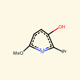 COc1ccc(O)c(C(C)C)n1